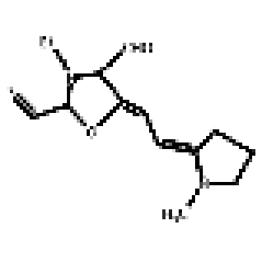 CCN1C(C=S)OC(=CC=C2CCCN2C)C1C=O